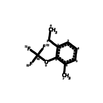 CCc1cccc(C)c1OC(F)(F)F